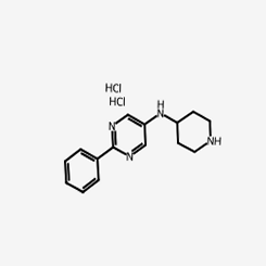 Cl.Cl.c1ccc(-c2ncc(NC3CCNCC3)cn2)cc1